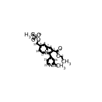 CCOC(=O)c1cc2cc(COS(C)(=O)=O)ccn2c1-c1ccnc(C)c1